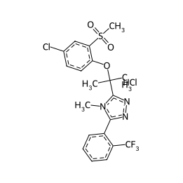 Cl.Cn1c(-c2ccccc2C(F)(F)F)nnc1C(C)(C)Oc1ccc(Cl)cc1S(C)(=O)=O